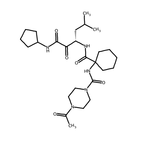 CC(=O)N1CCN(C(=O)NC2(C(=O)N[C@@H](CC(C)C)C(=O)C(=O)NC3CCCC3)CCCCC2)CC1